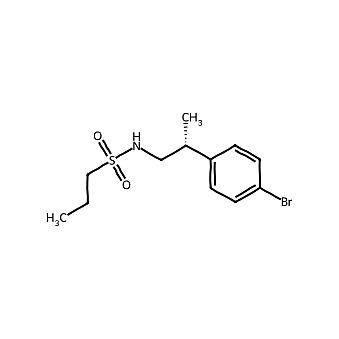 CCCS(=O)(=O)NC[C@H](C)c1ccc(Br)cc1